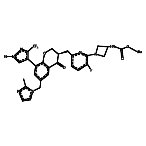 CCn1cc(-c2cc(Cn3ccnc3C)cc3c2OC[C@@H](Cc2ccc(F)c(N4CC(NC(=O)OC(C)(C)C)C4)n2)C3=O)c(C(F)(F)F)n1